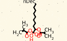 C=C(C)C(=O)OC(CCCCCCCCCCCCCCCCCC)C(O)(O)OC(=O)C(=C)C